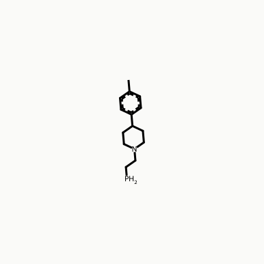 Cc1ccc(C2CCN(CCP)CC2)cc1